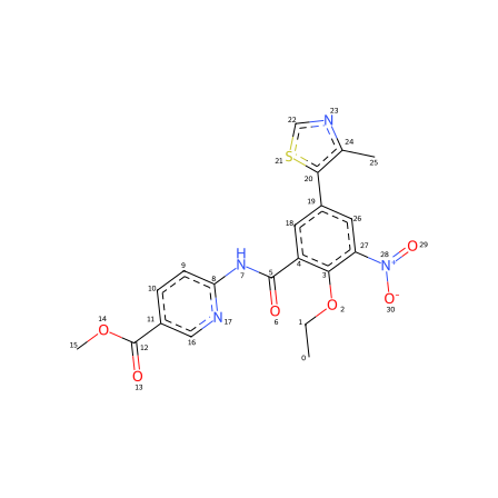 CCOc1c(C(=O)Nc2ccc(C(=O)OC)cn2)cc(-c2scnc2C)cc1[N+](=O)[O-]